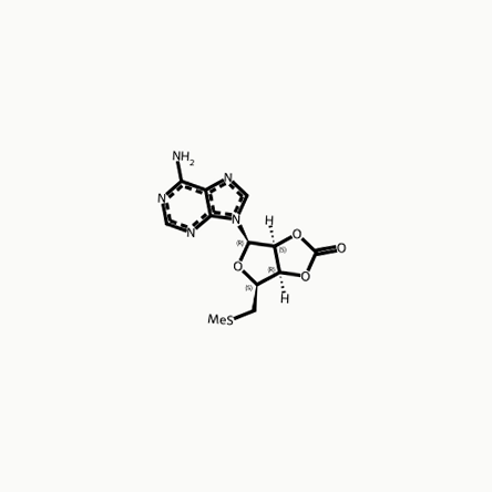 CSC[C@H]1O[C@@H](n2cnc3c(N)ncnc32)[C@H]2OC(=O)O[C@H]21